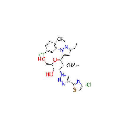 C=Cc1cc([C@@H]2O[C@H](CO)[C@H](O)[C@H](n3cc(-c4nc(Cl)cs4)nn3)[C@H]2OC)n(-c2cc(Cl)ccc2C(F)(F)F)n1